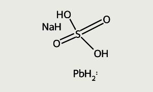 O=S(=O)(O)O.[NaH].[PbH2]